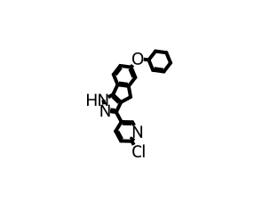 Clc1ccc(-c2n[nH]c3c2Cc2cc(OC4C=CCCC4)ccc2-3)cn1